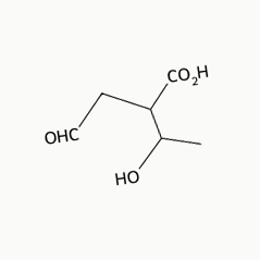 CC(O)C(CC=O)C(=O)O